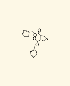 O=C(OCc1ccccc1)C1CSCC1C(=O)OCc1ccccc1